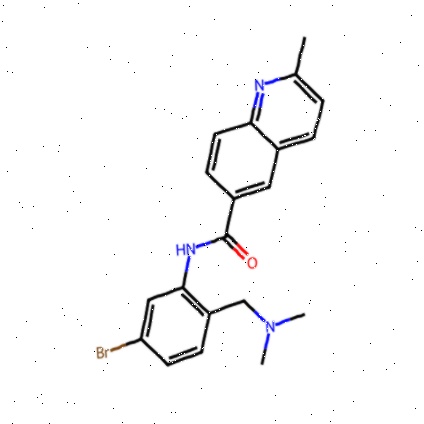 Cc1ccc2cc(C(=O)Nc3cc(Br)ccc3CN(C)C)ccc2n1